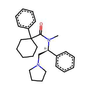 CN(C(=O)C1(c2ccccc2)CCCCC1)[C@H](CN1CCCC1)c1ccccc1